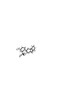 O=[N+]([O-])c1cc(Cl)ccc1-c1ccc2oc3ccccc3c2c1